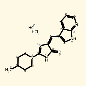 CC1CCN(C2=NC(=Cc3c[nH]c4ncccc34)C(=O)N2)CC1.Cl.Cl